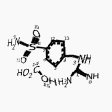 N=C(N)Nc1ccc(S(N)(=O)=O)cc1.O=C(O)O